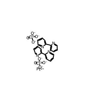 [O-][Cl+3]([O-])([O-])[O-].[O-][Cl+3]([O-])([O-])[O-].[Pt+2].c1ccc(-c2ccccn2)nc1.c1ccc(-c2ccccn2)nc1